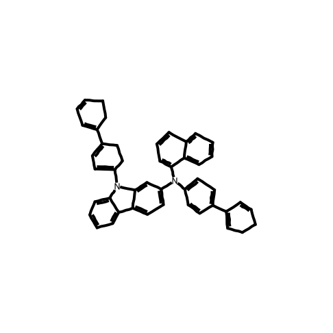 C1=CCCC(C2=CC=C(n3c4ccccc4c4ccc(N(c5ccc(C6=CCCC=C6)cc5)c5cccc6ccccc56)cc43)CC2)=C1